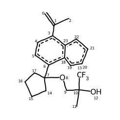 C=C(C)c1ccc(C2(OCC(C)(O)C(F)(F)F)CCCC2)c2ccccc12